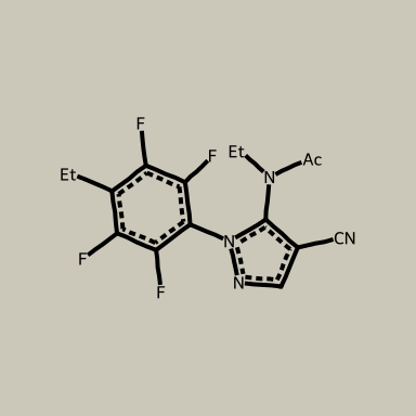 CCc1c(F)c(F)c(-n2ncc(C#N)c2N(CC)C(C)=O)c(F)c1F